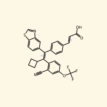 N#Cc1cc(OC(F)(F)F)ccc1/C(=C(\c1ccc(/C=C/C(=O)O)cc1)c1ccc2scnc2c1)C1CCC1